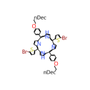 CCCCCCCCCCCCOc1ccc(-c2c3nc(c(-c4ccc(Br)s4)c4ccc([nH]4)c(-c4ccc(OCCCCCCCCCCCC)cc4)c4nc(c(-c5ccc(Br)s5)c5ccc2[nH]5)C=C4)C=C3)cc1